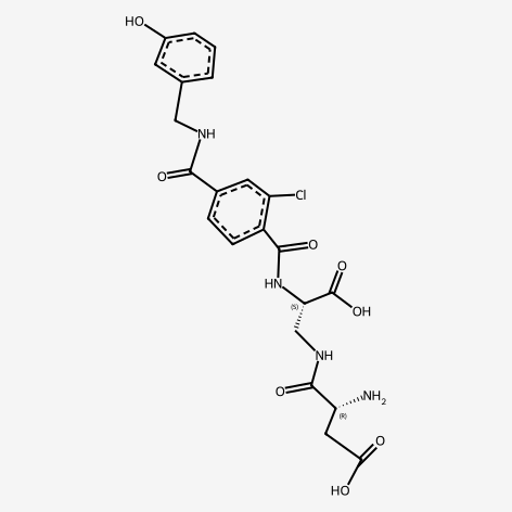 N[C@H](CC(=O)O)C(=O)NC[C@H](NC(=O)c1ccc(C(=O)NCc2cccc(O)c2)cc1Cl)C(=O)O